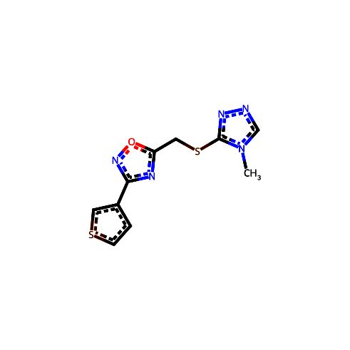 Cn1cnnc1SCc1nc(-c2ccsc2)no1